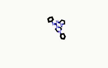 CN1CCC/C1=N/C(=N\c1ccccc1)N1CCN(c2ccccc2)CC1